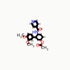 COc1ccc(C2CC(OC(C)=O)CCC2NC(=O)c2ccncc2)cc1OC